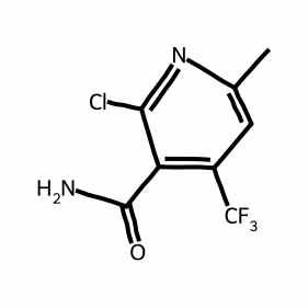 Cc1cc(C(F)(F)F)c(C(N)=O)c(Cl)n1